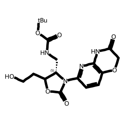 CC(C)(C)OC(=O)NC[C@H]1C(CCO)OC(=O)N1c1ccc2c(n1)NC(=O)CO2